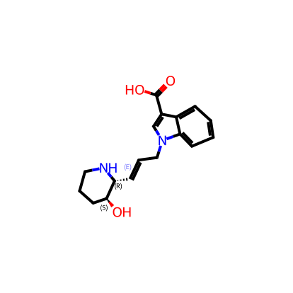 O=C(O)c1cn(C/C=C/[C@H]2NCCC[C@@H]2O)c2ccccc12